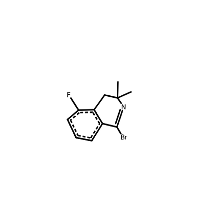 CC1(C)Cc2c(F)cccc2C(Br)=N1